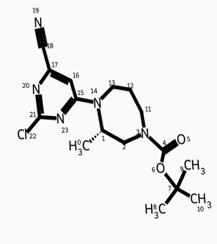 C[C@H]1CN(C(=O)OC(C)(C)C)CCCN1c1cc(C#N)nc(Cl)n1